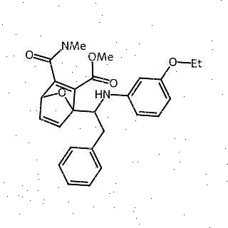 CCOc1cccc(NC(Cc2ccccc2)C23C=CC(O2)C(C(=O)NC)=C3C(=O)OC)c1